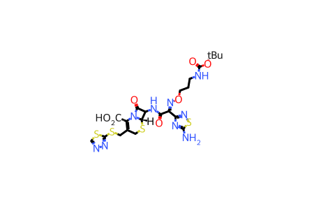 CC(C)(C)OC(=O)NCCCON=C(C(=O)NC1C(=O)N2C(C(=O)O)=C(CSc3nncs3)CS[C@@H]12)c1nsc(N)n1